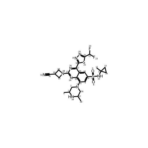 CC1CN(c2cc(S(=O)(=O)NC3(C)CC3)cc3c(-c4nnc(C(F)F)s4)nc(N4CC(C#N)C4)nc23)CC(C)N1